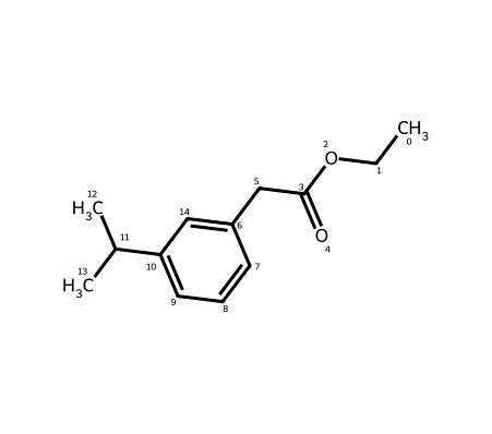 CCOC(=O)Cc1cccc(C(C)C)c1